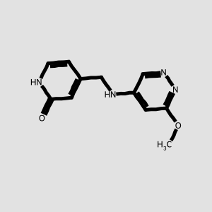 COc1cc(NCc2cc[nH]c(=O)c2)cnn1